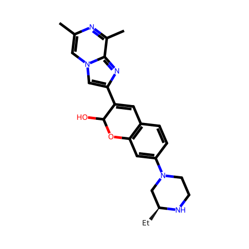 CC[C@H]1CN(c2ccc3c(c2)OC(O)C(c2cn4cc(C)nc(C)c4n2)=C3)CCN1